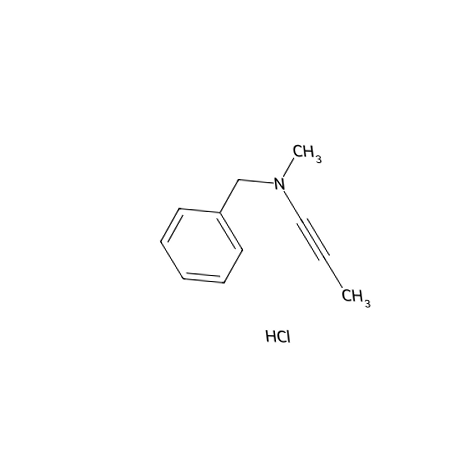 CC#CN(C)Cc1ccccc1.Cl